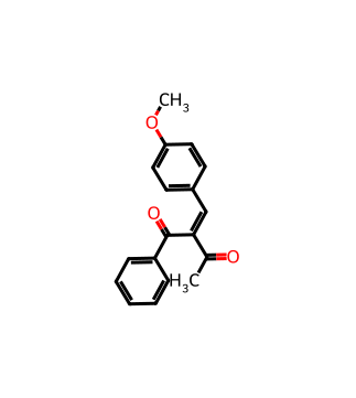 COc1ccc(/C=C(/C(C)=O)C(=O)c2ccccc2)cc1